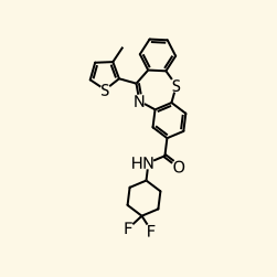 Cc1ccsc1C1=Nc2cc(C(=O)NC3CCC(F)(F)CC3)ccc2Sc2ccccc21